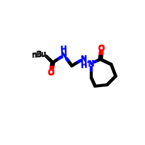 CCCCC(=O)NCNN1CCCCCC1=O